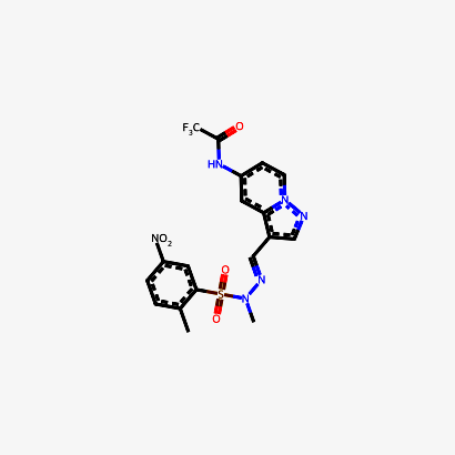 Cc1ccc([N+](=O)[O-])cc1S(=O)(=O)N(C)N=Cc1cnn2ccc(NC(=O)C(F)(F)F)cc12